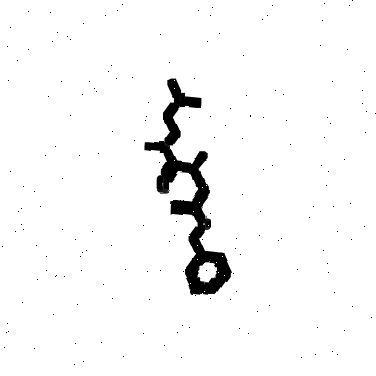 C=C(C[C@H](C)C(=O)N(C)CCN(C)C)OCc1ccccc1